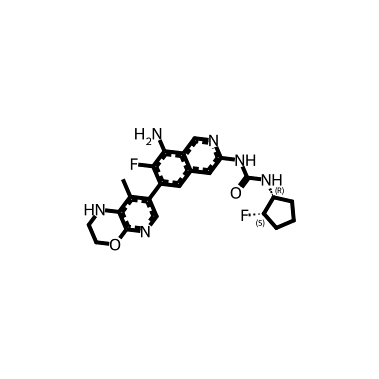 Cc1c(-c2cc3cc(NC(=O)N[C@@H]4CCC[C@@H]4F)ncc3c(N)c2F)cnc2c1NCCO2